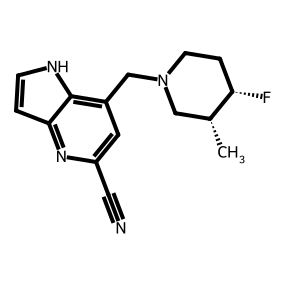 C[C@@H]1CN(Cc2cc(C#N)nc3cc[nH]c23)CC[C@@H]1F